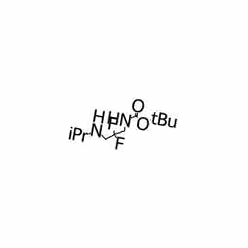 CC(C)NCC(F)(F)CNC(=O)OC(C)(C)C